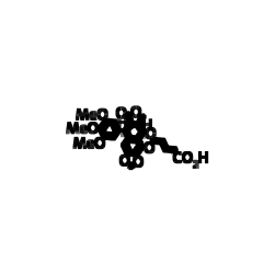 COc1cc([C@@H]2c3cc4c(cc3[C@H](OC(=O)CCCC(=O)O)[C@H]3COC(=O)[C@H]23)OCO4)cc(OC)c1OC